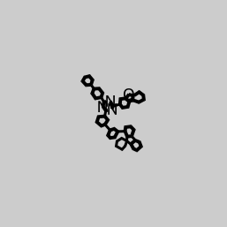 c1ccc(-c2ccc(-c3nc(-c4cccc(-c5cccc(-c6cccc7c6C6(CCCCC6)c6ccccc6-7)c5)c4)nc(-c4ccc5c(c4)oc4ccccc45)n3)cc2)cc1